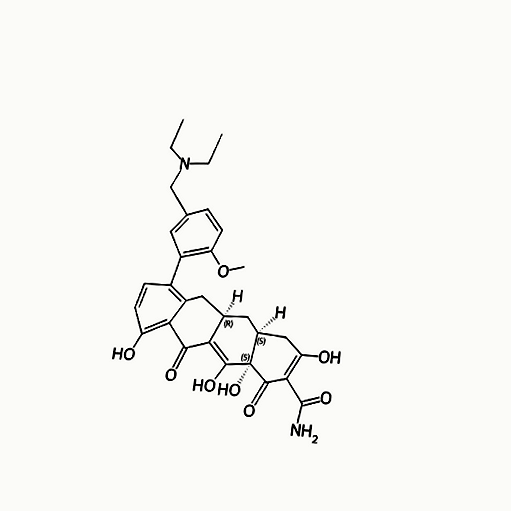 CCN(CC)Cc1ccc(OC)c(-c2ccc(O)c3c2C[C@H]2C[C@H]4CC(O)=C(C(N)=O)C(=O)[C@@]4(O)C(O)=C2C3=O)c1